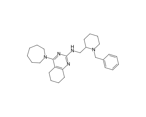 c1ccc(CN2CCCCC2CNc2nc3c(c(N4CCCCCC4)n2)CCCC3)cc1